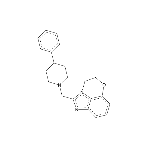 c1ccc(C2CCN(Cc3nc4cccc5c4n3CCO5)CC2)cc1